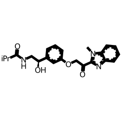 CC(C)C(=O)NC[C@H](O)c1cccc(OCC(=O)c2nc3ccccc3n2C)c1